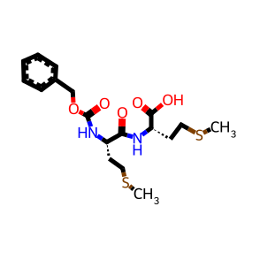 CSCC[C@H](NC(=O)[C@H](CCSC)NC(=O)OCc1ccccc1)C(=O)O